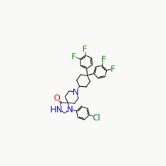 O=C1NCN(c2ccc(Cl)cc2)C12CCN(C1CCC(c3ccc(F)c(F)c3)(c3ccc(F)c(F)c3)CC1)CC2